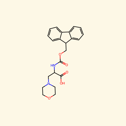 O=C(NC(CN1CCOCC1)C(=O)O)OCC1c2ccccc2-c2ccccc21